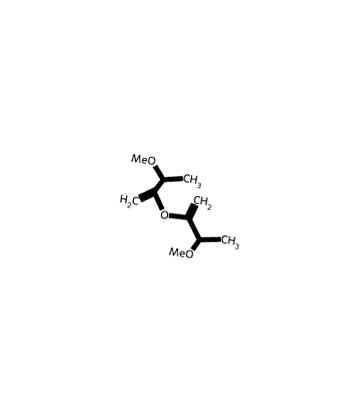 C=C(OC(=C)C(C)OC)C(C)OC